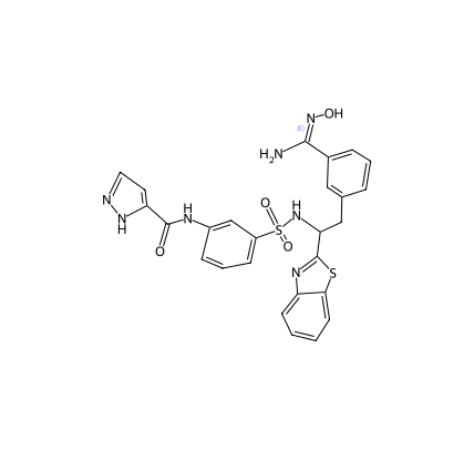 N/C(=N/O)c1cccc(CC(NS(=O)(=O)c2cccc(NC(=O)c3ccn[nH]3)c2)c2nc3ccccc3s2)c1